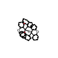 c1ccc2c(c1)Oc1ccccc1[C]2([Ba][C]1(c2cccc3ccccc23)c2ccccc2Oc2ccccc21)c1cccc2ccccc12